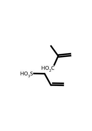 C=C(C)C(=O)O.C=CCS(=O)(=O)O